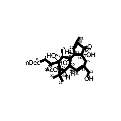 CCCCCCCCCCCC(=O)[C@@]1(O)[C@@H](C)[C@@]2(O)[C@@H](C=C(CO)C[C@]3(O)C(=O)C(C)=C[C@@H]23)[C@H]2C(C)(C)[C@@]21OC(C)=O